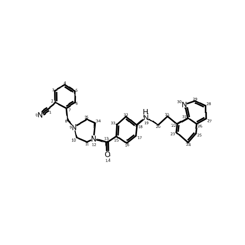 N#Cc1ccccc1CN1CCN(C(=O)c2ccc(NCCc3cccc4cccnc34)cc2)CC1